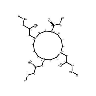 COCC(O)CN1CCCN(CC(O)COC)CCN(C(=O)OC)CCCN(CC(O)COC)CC1